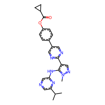 CC(C)c1cncc(Nc2c(-c3ncc(-c4ccc(OC(=O)C5CC5)cc4)cn3)cnn2C)n1